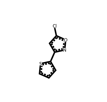 Clc1cc(-c2cccs2)no1